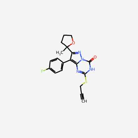 C#CCSc1nc2c(-c3ccc(F)cc3)c(C3(C)CCCO3)nn2c(=O)[nH]1